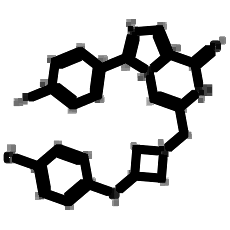 O=c1[nH]c(CN2CC(Oc3ccc(Cl)cc3)C2)cn2c(-c3ccc(F)cc3)ncc12